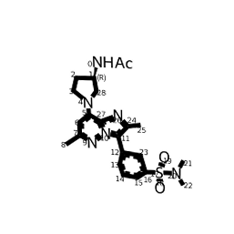 CC(=O)N[C@@H]1CCN(c2cc(C)nn3c(-c4cccc(S(=O)(=O)N(C)C)c4)c(C)nc23)C1